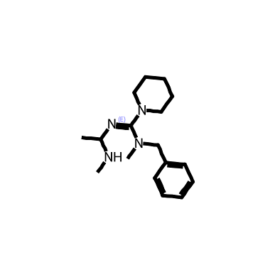 CNC(C)/N=C(\N(C)Cc1ccccc1)N1CCCCC1